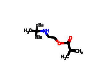 C=C(C)C(=O)OCCNC(C)(CCCC)CCCC